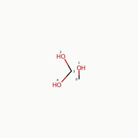 CO.OCO